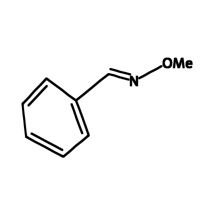 CON=Cc1ccccc1